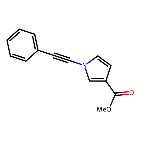 COC(=O)c1ccn(C#Cc2ccccc2)c1